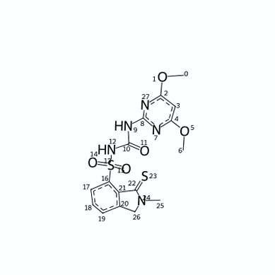 COc1cc(OC)nc(NC(=O)NS(=O)(=O)c2cccc3c2C(=S)N(C)C3)n1